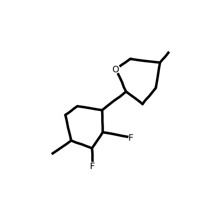 CC1CCC(C2CCC(C)C(F)C2F)OC1